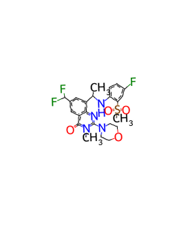 CC(Nc1ccc(F)cc1S(C)(=O)=O)c1cc(C(F)F)cc2c(=O)n(C)c(N3CCOCC3)nc12